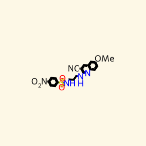 COc1ccc2nc(NCCCNS(=O)(=O)c3ccc([N+](=O)[O-])cc3)c(C#N)cc2c1